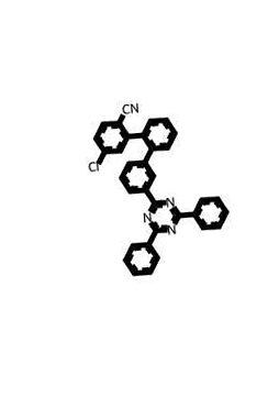 N#Cc1ccc(Cl)cc1-c1ccccc1-c1cccc(-c2nc(-c3ccccc3)nc(-c3ccccc3)n2)c1